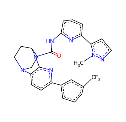 Cn1nccc1-c1cccc(NC(=O)N2c3nc(-c4cccc(C(F)(F)F)c4)ccc3N3CCC2CC3)n1